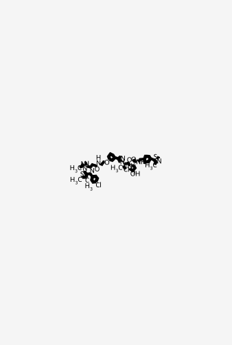 Cc1ncsc1-c1ccc(CNC(=O)[C@@H]2C[C@@H](O)CN2C(=O)[C@H](C(C)C)n2cc(-c3cccc(OCCNC(=O)CC4N=C(c5ccc(Cl)cc5)c5c(sc(C)c5C)-n5c(C)nnc54)c3)cn2)cc1